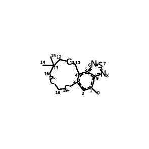 Cc1cc2c(c3nsnc13)CCCC(C)(C)CCCC2